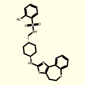 N#Cc1ccccc1S(=O)(=O)NC[C@H]1CC[C@H](Nc2nc3c(s2)CCSc2ccccc2-3)CC1